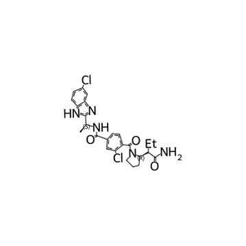 CCC(C(N)=O)[C@H]1CCCN1C(=O)c1ccc(C(=O)N[C@@H](C)c2nc3cc(Cl)ccc3[nH]2)cc1Cl